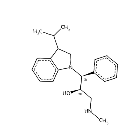 CNC[C@@H](O)[C@H](c1ccccc1)N1CC(C(C)C)c2ccccc21